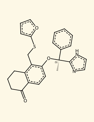 C[C@](Oc1ccc2c(c1CSc1ccco1)CCCC2=O)(c1ccccc1)c1ncc[nH]1